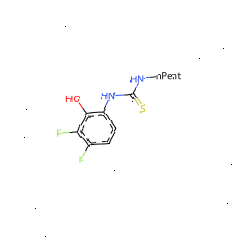 CCCCCNC(=S)Nc1ccc(F)c(F)c1O